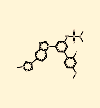 COc1ccc(-c2cc(NS(=O)(=O)N(C)C)cc(-n3cnc4cc(-c5cnn(C)c5)ccc43)c2)c(F)c1